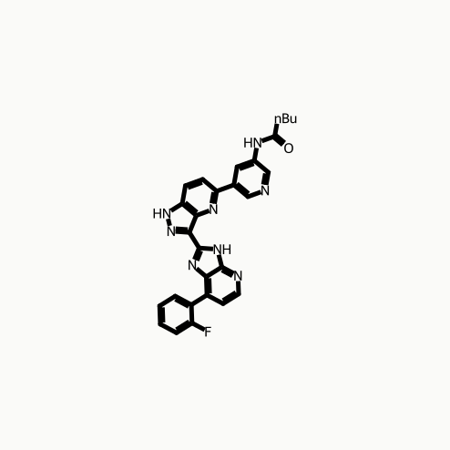 CCCCC(=O)Nc1cncc(-c2ccc3[nH]nc(-c4nc5c(-c6ccccc6F)ccnc5[nH]4)c3n2)c1